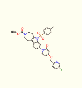 Cc1ccc(S(=O)(=O)n2c3c(c4ccc(-n5ccc(OCc6ccc(F)cn6)cc5=O)cc42)CCN(C(=O)OC(C)(C)C)CC3)cc1